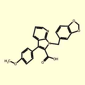 COc1ccc(-c2c(C(=O)O)n(Cc3ccc4c(c3)OCO4)c3ncccc23)cc1